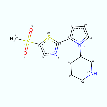 CS(=O)(=O)c1cnc(-c2cccn2C2CCCNC2)s1